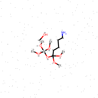 CCOC(CCCCN)(OCC)O[Si](OCC)(OCC)OCC.CO